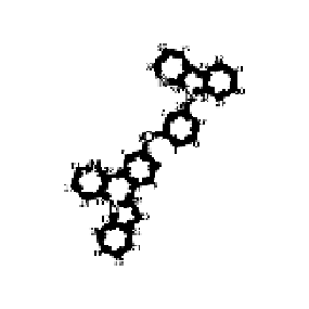 c1cc(Oc2ccc3c(c2)c2ncccc2n2c4ccccc4cc32)cc(-n2c3ccccc3c3cccnc32)c1